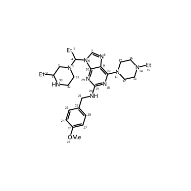 CCC1CN(C(CC)n2cnc3c(N4CCN(CC)CC4)nc(NCc4ccc(OC)cc4)nc32)CCN1